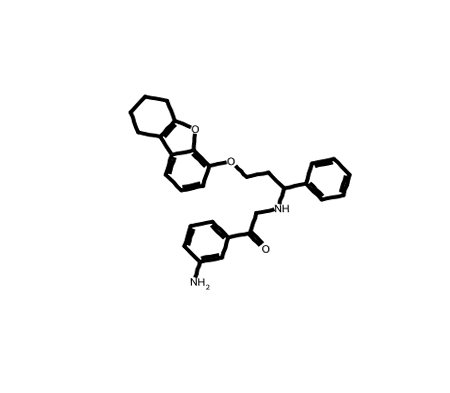 Nc1cccc(C(=O)CNC(CCOc2cccc3c4c(oc23)CCCC4)c2ccccc2)c1